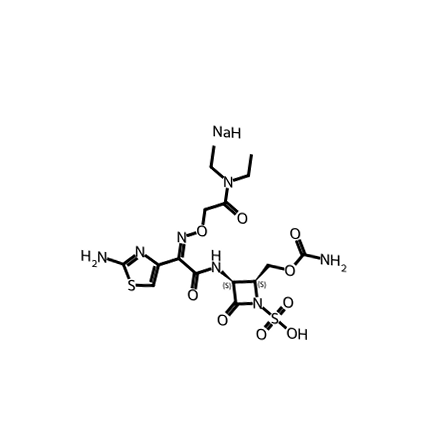 CCN(CC)C(=O)CON=C(C(=O)N[C@@H]1C(=O)N(S(=O)(=O)O)[C@@H]1COC(N)=O)c1csc(N)n1.[NaH]